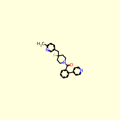 Cc1ccc(CC2(F)CCN(C(=O)c3ccccc3-c3ccncc3)CC2)cn1